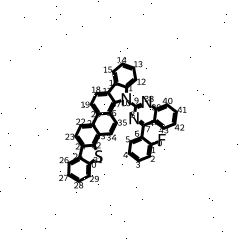 Fc1ccccc1-c1nc(-n2c3ccccc3c3ccc4c5ccc6c7ccccc7sc6c5ccc4c32)nc2ccccc12